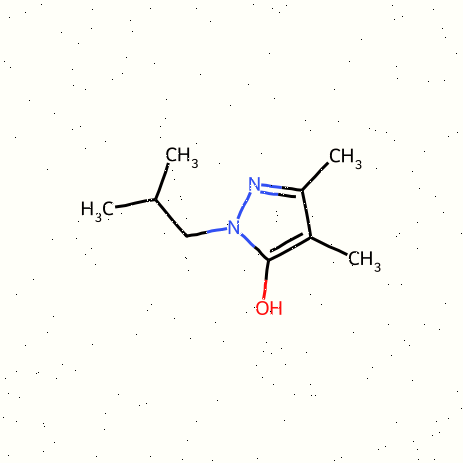 Cc1nn(CC(C)C)c(O)c1C